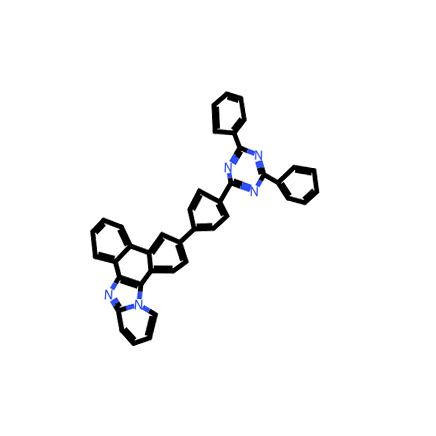 c1ccc(-c2nc(-c3ccccc3)nc(-c3ccc(-c4ccc5c(c4)c4ccccc4c4nc6ccccn6c54)cc3)n2)cc1